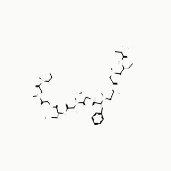 CN[C@@H](C)C(=O)N[C@@H](CC(C)C)C(=O)N(C)CC(=O)N[C@@H](C)C(=O)N(C)[C@@H](Cc1ccccc1)C(=O)N[C@@H](CC(C)C)C(=O)N(C)[C@@H](C)C(=O)N[C@@H](CC(C)C)C(=O)NCC(=O)N(C)[C@H](C(=O)N(C)[C@@H](CC(=O)O)C(=O)O)C(C)C